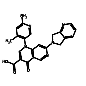 Cc1cc(N)ncc1-n1cc(C(=O)O)c(=O)c2cnc(N3Cc4cccnc4C3)cc21